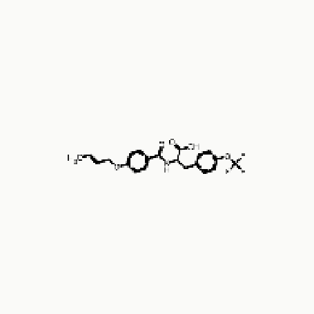 CC=CCOc1ccc(C(=O)NC(Cc2ccc(OC(F)(F)F)cc2)C(=O)O)cc1